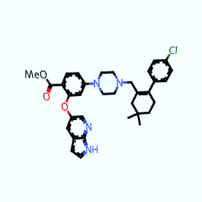 COC(=O)c1ccc(N2CCN(CC3=C(c4ccc(Cl)cc4)CCC(C)(C)C3)CC2)cc1Oc1cnc2[nH]ccc2c1